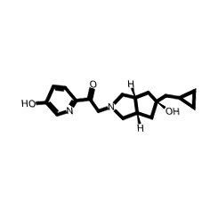 O=C(CN1C[C@@H]2C[C@](O)(CC3CC3)C[C@@H]2C1)c1ccc(O)cn1